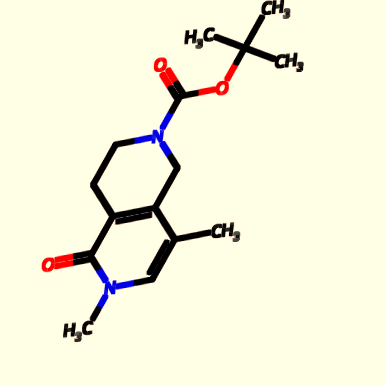 Cc1cn(C)c(=O)c2c1CN(C(=O)OC(C)(C)C)CC2